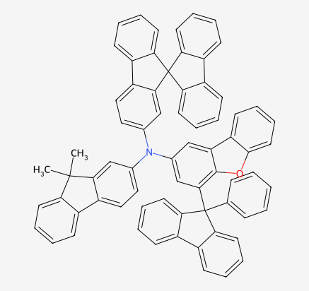 CC1(C)c2ccccc2-c2ccc(N(c3ccc4c(c3)C3(c5ccccc5-c5ccccc53)c3ccccc3-4)c3cc(C4(c5ccccc5)c5ccccc5-c5ccccc54)c4oc5ccccc5c4c3)cc21